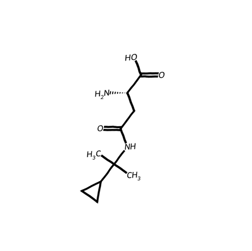 CC(C)(NC(=O)C[C@H](N)C(=O)O)C1CC1